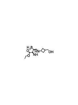 B/C(=C/NC1CC(CO)C1)C(=N)C(=O)OCC